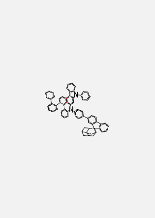 c1ccc(-c2ccccc2-c2ccccc2-c2ccccc2N(c2ccc(-c3ccc4c(c3)C3(c5ccccc5-4)C4CC5CC(C4)CC3C5)cc2)c2ccc3c4ccccc4n(-c4ccccc4)c3c2)cc1